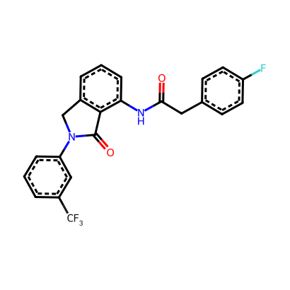 O=C(Cc1ccc(F)cc1)Nc1cccc2c1C(=O)N(c1cccc(C(F)(F)F)c1)C2